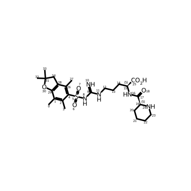 Cc1c(C)c(S(=O)(=O)NC(=N)NCCC[C@H](NC(=O)[C@@H]2CCCCN2)C(=O)O)c(C)c2c1OC(C)(C)C2